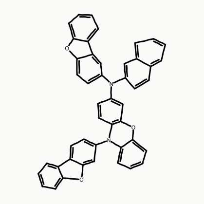 c1ccc2c(c1)Oc1cc(N(c3ccc4ccccc4c3)c3ccc4oc5ccccc5c4c3)ccc1N2c1ccc2c(c1)oc1ccccc12